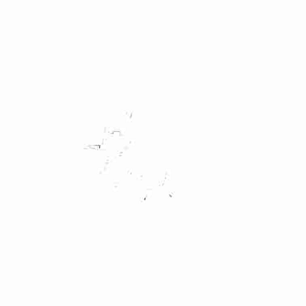 CCOC[C@H]1O[C@@H](n2cnc3c(=O)[nH]c(N)nc32)[C@H](O)[C@@H]1O